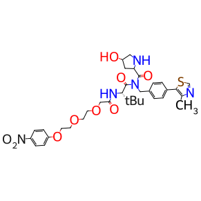 Cc1ncsc1-c1ccc(CN(C(=O)C2CC(O)CN2)C(=O)[C@@H](NC(=O)COCCOCCOc2ccc([N+](=O)[O-])cc2)C(C)(C)C)cc1